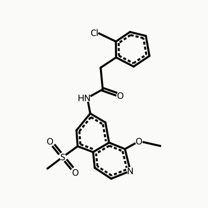 COc1nccc2c(S(C)(=O)=O)cc(NC(=O)Cc3ccccc3Cl)cc12